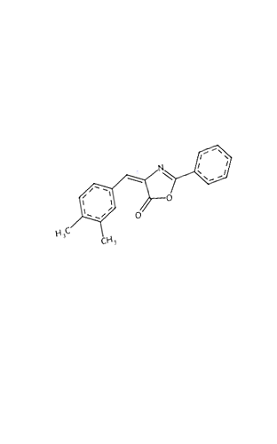 Cc1ccc(/C=C2/N=C(c3ccccc3)OC2=O)cc1C